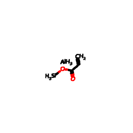 C=CC(=O)O[SiH3].[AlH3]